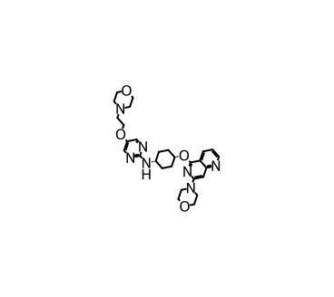 c1cnc2cc(N3CCOCC3)nc(O[C@H]3CC[C@@H](Nc4ncc(OCCN5CCOCC5)cn4)CC3)c2c1